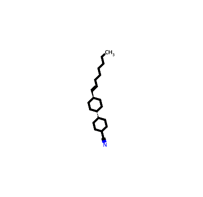 CCCCCC/C=C/[C@H]1CC[C@H](C2CCC(C#N)CC2)CC1